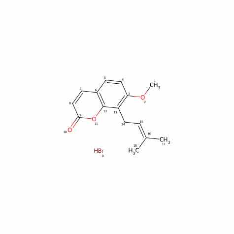 Br.COc1ccc2ccc(=O)oc2c1CC=C(C)C